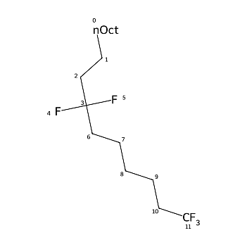 [CH2]CCCCCCCCCC(F)(F)CCCCCC(F)(F)F